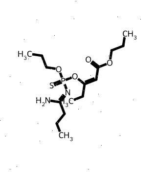 CCCOC(=O)C=C(CC)OP(=S)(N=C(N)CCC)OCCC